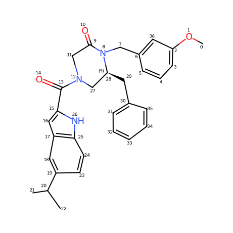 COc1cccc(CN2C(=O)CN(C(=O)c3cc4cc(C(C)C)ccc4[nH]3)C[C@@H]2Cc2ccccc2)c1